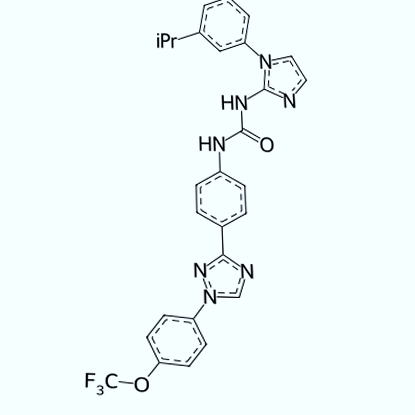 CC(C)c1cccc(-n2ccnc2NC(=O)Nc2ccc(-c3ncn(-c4ccc(OC(F)(F)F)cc4)n3)cc2)c1